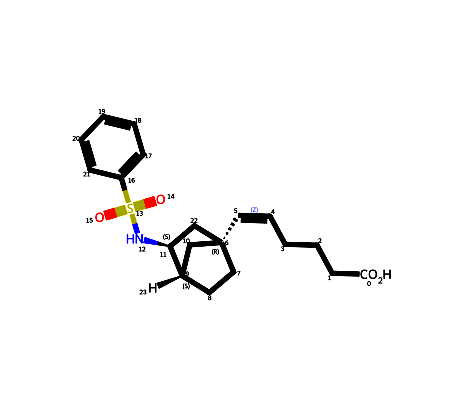 O=C(O)CCC/C=C\[C@]12CC[C@@H](C1)[C@@H](NS(=O)(=O)c1ccccc1)C2